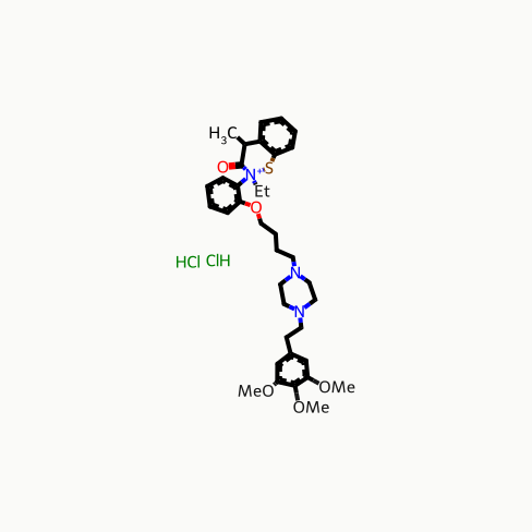 CC[N+]1(c2ccccc2OCCCCN2CCN(CCc3cc(OC)c(OC)c(OC)c3)CC2)Sc2ccccc2C(C)C1=O.Cl.Cl